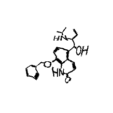 CCC(NC(C)C)C(O)c1ccc(OCc2ccccc2)c2[nH]c(=O)ccc12